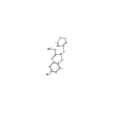 CC(C)(C)OC(=O)N(CC1=NCCC=N1)Cc1ccc(Br)cn1